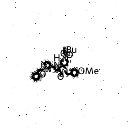 COc1ccc(CN2CC3(CCN(C(=O)OC(C)(C)C)CC3)c3[nH]c(-c4ccnc(-c5cc6ccccc6o5)n4)cc3C2=O)cc1